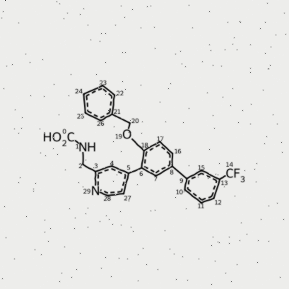 O=C(O)NCc1cc(-c2cc(-c3cccc(C(F)(F)F)c3)ccc2OCc2ccccc2)ccn1